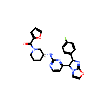 O=C(c1ccco1)N1CCC[C@@H](Nc2nccc(C3C(c4ccc(F)cc4)N=C4OC=CN43)n2)C1